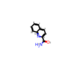 NC(=O)c1ccc2ccc[c]c2n1